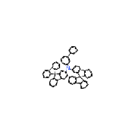 c1ccc(-c2cccc(N(c3ccc4c(c3)C3(c5ccccc5-c5ccccc53)c3ccccc3-4)c3ccc4c(c3)C3(c5ccccc5-c5ccccc53)c3ccccc3-4)c2)cc1